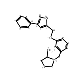 O=C(O)C1CSCN1Cc1cccc(OCc2cc(-c3ccccc3)no2)c1